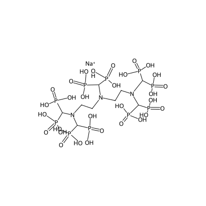 O=P(O)(O)C(N(CCN(C(P(=O)(O)O)P(=O)(O)O)C(P(=O)(O)O)P(=O)(O)O)CCN(C(P(=O)(O)O)P(=O)(O)O)C(P(=O)(O)O)P(=O)(O)O)P(=O)(O)O.[Na+]